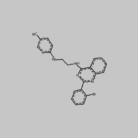 N#Cc1ccc(NCCNc2nc(-c3ccccc3Br)nc3ccccc23)nc1